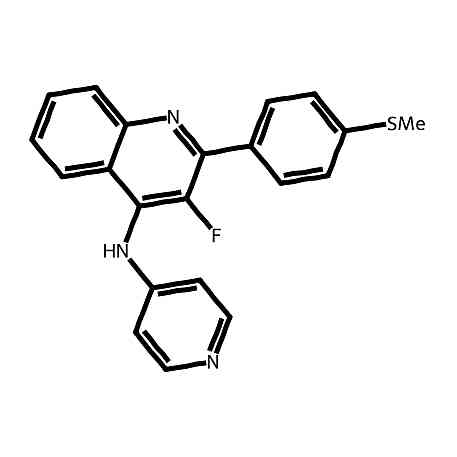 CSc1ccc(-c2nc3ccccc3c(Nc3ccncc3)c2F)cc1